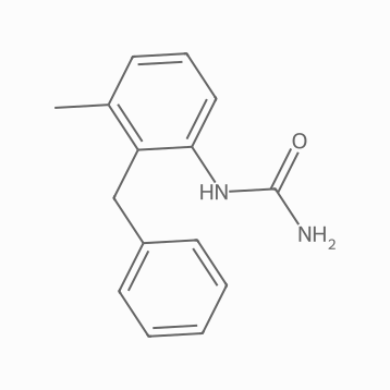 Cc1cccc(NC(N)=O)c1Cc1ccccc1